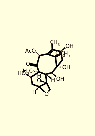 CC(=O)O[C@H]1C(=O)[C@]2(C)[C@H](O)C[C@H]3OC[C@@]3(O)[C@H]2[C@H](O)[C@]2(O)C[C@H](O)C(C)=C1C2(C)C